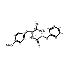 CSc1ccc([CH]C(NC(=O)OCc2ccccc2)C(O)C#N)cc1